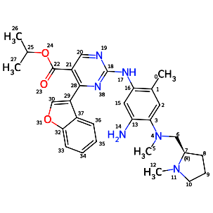 Cc1cc(N(C)C[C@H]2CCCN2C)c(N)cc1Nc1ncc(C(=O)OC(C)C)c(-c2coc3ccccc23)n1